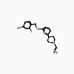 C[C](C)CN1CCC(c2cccc(OCc3ccc(C#N)cc3F)n2)CC1